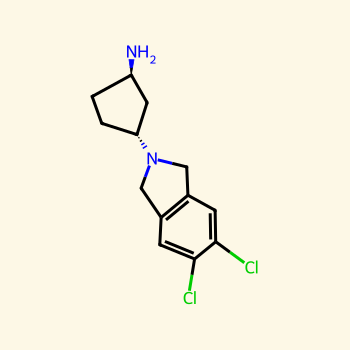 N[C@@H]1CC[C@@H](N2Cc3cc(Cl)c(Cl)cc3C2)C1